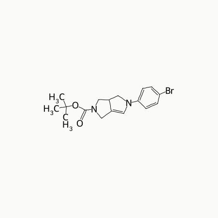 CC(C)(C)OC(=O)N1CC2=CN(c3ccc(Br)cc3)CC2C1